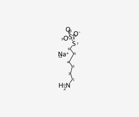 NCCCCCCSS(=O)(=O)[O-].[Na+]